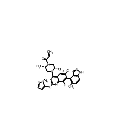 C=CC(=O)N1C[C@H](C)N(c2nc(Oc3ccnn3C)nc3c(F)c(-c4c(C)ccc5[nH]ncc45)c(Cl)cc23)C[C@H]1C